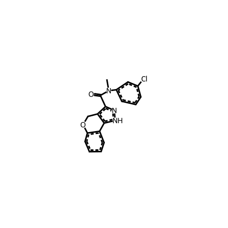 CN(C(=O)c1n[nH]c2c1COc1ccccc1-2)c1cccc(Cl)c1